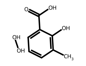 Cc1cccc(C(=O)O)c1O.OO